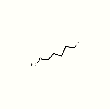 [CH2]OCCCCCCl